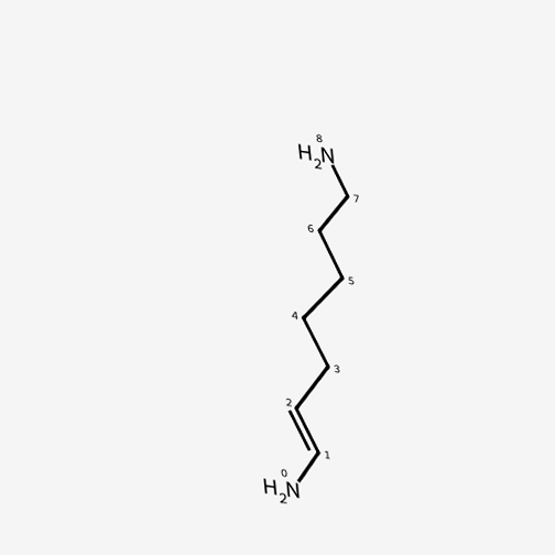 NC=CCCCCCN